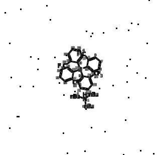 CCCC[NH+](CCCC)CCCC.FC(F)(F)c1ccccc1[B-](c1ccccc1C(F)(F)F)(c1ccccc1C(F)(F)F)c1ccccc1C(F)(F)F